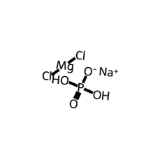 O=P([O-])(O)O.[Cl][Mg][Cl].[Na+]